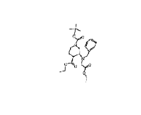 CCOC(=O)CN(Cc1ccccc1)[C@@H]1CN(C(=O)OC(C)(C)C)CC[C@@H]1C(=O)OCC